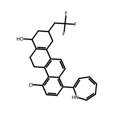 OC1CC(CC(F)(F)F)CC2=C1CCc1c2ccc2c(C3=CC=CC=CN3)ccc(Cl)c12